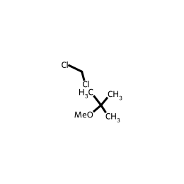 COC(C)(C)C.ClCCl